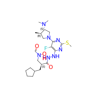 CSc1nc(NNC(=O)[C@@H](CC2CCCC2)CN(O)C=O)c(F)c(N2C[C@@H](C)[C@H](N(C)C)C2)n1